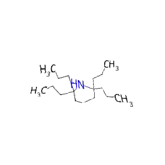 CCCC1(CCC)CCCC(CCC)(CCC)N1